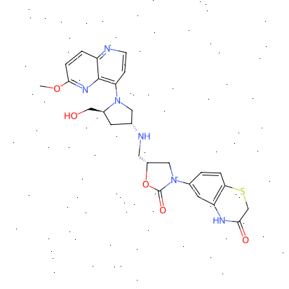 COc1ccc2nccc(N3C[C@H](NC[C@@H]4CN(c5ccc6c(c5)NC(=O)CS6)C(=O)O4)C[C@H]3CO)c2n1